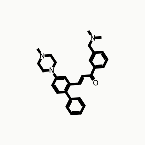 CN(C)Cc1cccc(C(=O)C=Cc2cc(N3CCN(C)CC3)ccc2-c2ccccc2)c1